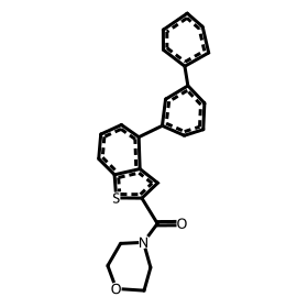 O=C(c1cc2c(-c3cccc(-c4ccccc4)c3)cccc2s1)N1CCOCC1